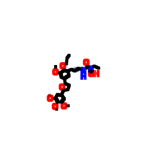 CCCOc1c(C/C=C/NC(=O)N(O)CC)cc(C2CCC(c3cc(OC)c(OC)c(OC)c3)O2)cc1OC